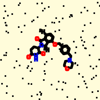 [2H]c1ccc(OCc2ccc(CN3CCOCC3)cc2)c2c1C(=O)N(C1CCC(=O)NC1=O)C2[2H]